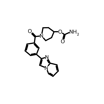 NC(=O)OC1CCN(C(=O)c2cccc(-c3cn4ccccc4n3)c2)CC1